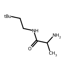 CC(N)C(=O)NCCC(C)(C)C